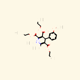 CCCOC(=O)C1=C(C)N(C)C(C(=O)OCCC)=C(C(=O)OCCC)C1c1cccc(OC)c1